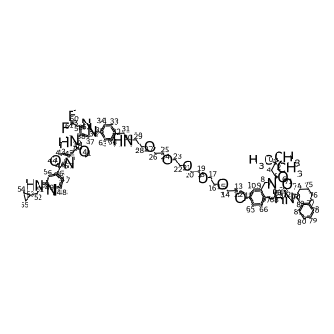 CC(C)(C)CC(=O)N1Cc2cc(OCCOCCOCCOCCOCCOCCNCc3ccc(-n4cc(NC(=O)c5coc(-c6ccnc(NCC7CC7)c6)n5)c(C(F)F)n4)cc3)ccc2C[C@H]1C(=O)N[C@@H]1CCCc2ccccc21